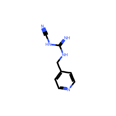 N#CNC(=N)NCc1ccncc1